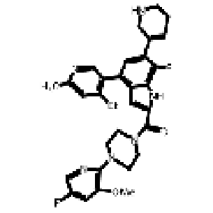 CCc1cc(C)ncc1-c1cc(C2=CCCNC2)c(F)c2[nH]c(C(=O)N3CCN(c4ncc(F)cc4OC)CC3)cc12